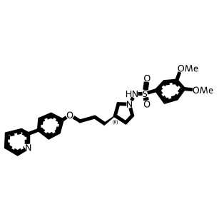 COc1ccc(S(=O)(=O)NN2CC[C@@H](CCCOc3ccc(-c4ccccn4)cc3)C2)cc1OC